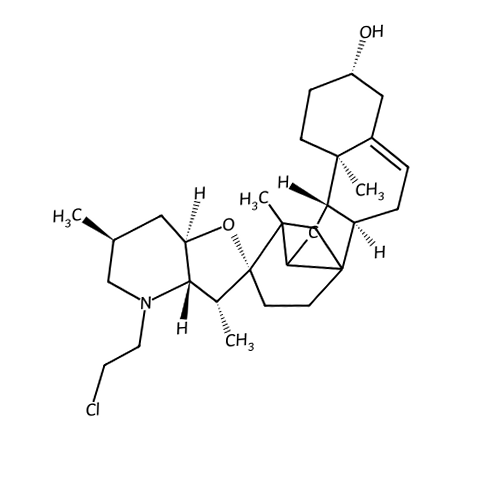 C[C@H]1C[C@H]2O[C@]3(CCC45CC3(C)C4C[C@H]3[C@H]5CC=C4C[C@@H](O)CC[C@@]43C)[C@H](C)[C@@H]2N(CCCl)C1